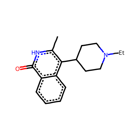 CCN1CCC(c2c(C)[nH]c(=O)c3ccccc23)CC1